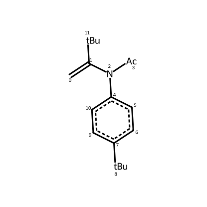 C=C(N(C(C)=O)c1ccc(C(C)(C)C)cc1)C(C)(C)C